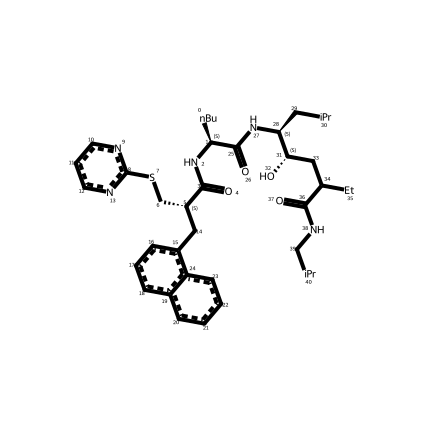 CCCC[C@H](NC(=O)[C@@H](CSc1ncccn1)Cc1cccc2ccccc12)C(=O)N[C@@H](CC(C)C)[C@@H](O)CC(CC)C(=O)NCC(C)C